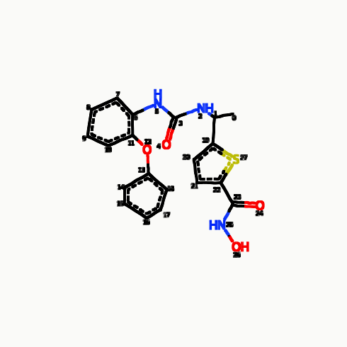 CC(NC(=O)Nc1ccccc1Oc1ccccc1)c1ccc(C(=O)NO)s1